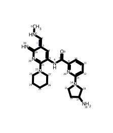 CN/C=C1/C=C(NC(=O)c2cccc(N3CCC(N)C3)n2)C(N2CCCCC2)=NC1=N